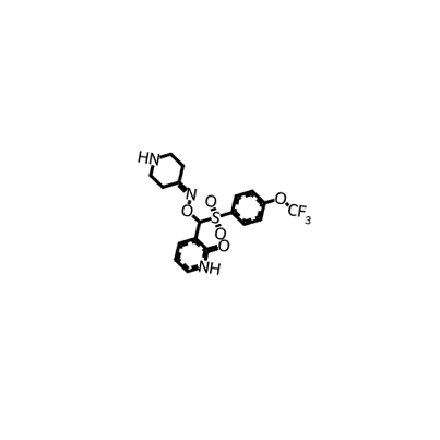 O=c1[nH]cccc1C(ON=C1CCNCC1)S(=O)(=O)c1ccc(OC(F)(F)F)cc1